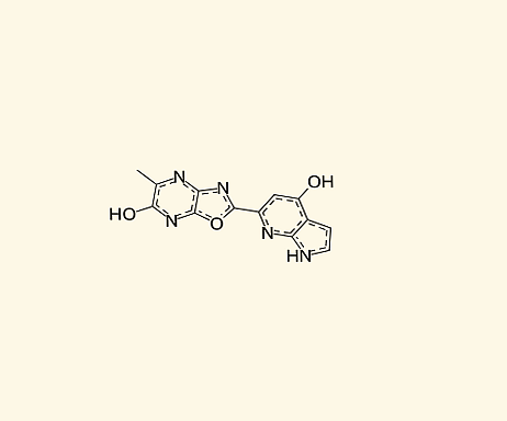 Cc1nc2nc(-c3cc(O)c4cc[nH]c4n3)oc2nc1O